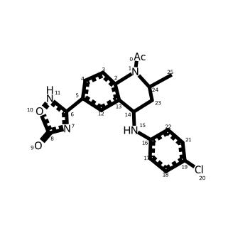 CC(=O)N1c2ccc(-c3nc(=O)o[nH]3)cc2C(Nc2ccc(Cl)cc2)CC1C